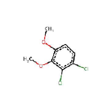 COc1ccc(Cl)c(Cl)c1OC